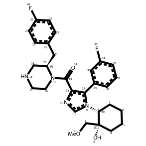 COC[C@]1(O)CCCC[C@H]1n1cnc(C(=O)N2CCNC[C@H]2Cc2ccc(F)cc2)c1-c1cccc(F)c1